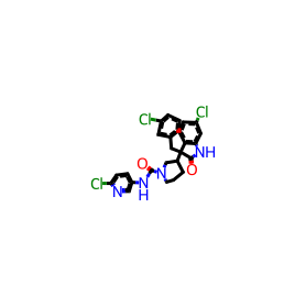 O=C(Nc1ccc(Cl)nc1)N1CCCC(C2(Cc3cccc(Cl)c3)C(=O)Nc3cc(Cl)ccc32)C1